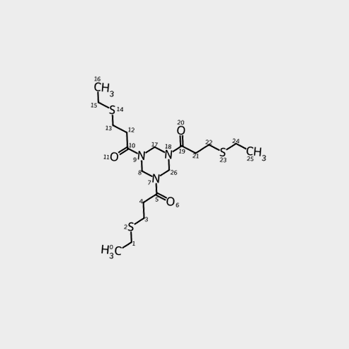 CCSCCC(=O)N1CN(C(=O)CCSCC)CN(C(=O)CCSCC)C1